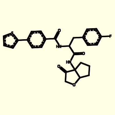 O=C(NC(Cc1ccc(F)cc1)C(=O)NC12CCCC1OCC2=O)c1ccc(-c2cccs2)cc1